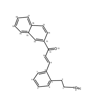 CCCCCCCCCCCCc1ccccc1C=CC(=O)c1ccc2ccccc2c1